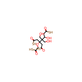 O=C(S)COC(CC(=O)S)(CC(=O)S)C(CO)(CO)C(O)CC(=O)S